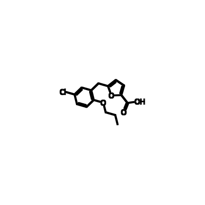 CCCOc1ccc(Cl)cc1Cc1ccc(C(=O)O)o1